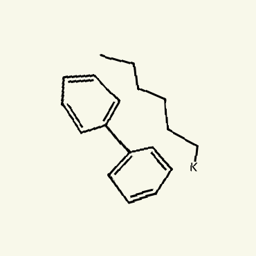 CCCCC[CH2][K].c1ccc(-c2ccccc2)cc1